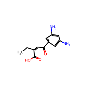 CCC(=CC(=O)c1cc(N)cc(N)c1)C(=O)O